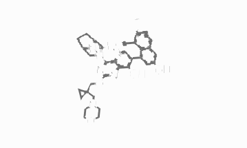 C#Cc1c(F)ccc2cc(O)cc(-c3cnc4c(N5CC6CCC(C5)N6)nc(OCC5(CN6CCOCC6)CC5)nc4c3C)c12